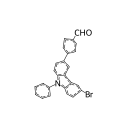 O=Cc1ccc(-c2ccc3c(c2)c2cc(Br)ccc2n3-c2ccccc2)cc1